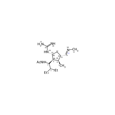 CCC(CC)C(NC(C)=O)[C@@H]1[C@H](C)[C@@H](/C=N/C)C[C@H]1NC(=N)N